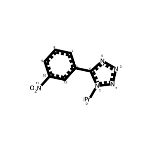 CC(C)n1nnnc1-c1cccc([N+](=O)[O-])c1